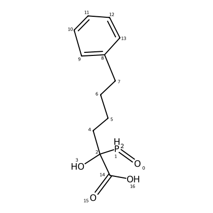 O=[PH2]C(O)(CCCCc1ccccc1)C(=O)O